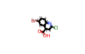 O=C(O)c1cc(Cl)nc2ccc(Br)cc12